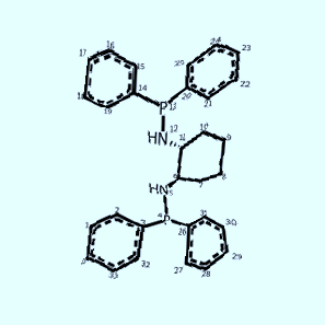 c1ccc(P(N[C@@H]2CCCC[C@H]2NP(c2ccccc2)c2ccccc2)c2ccccc2)cc1